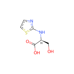 O=C(O)[C@H](CO)Nc1nccs1